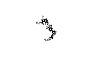 COCCCNc1cc(-c2ccc(C(=O)NCCc3ccc4[nH]cc(C(=N)N)c4c3)cc2)ccn1